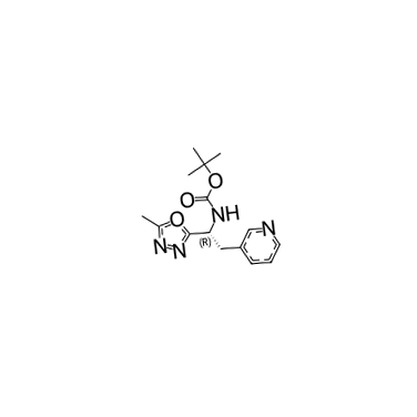 Cc1nnc([C@@H](Cc2cccnc2)NC(=O)OC(C)(C)C)o1